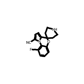 N#Cc1ccc2n1-c1c(F)cccc1OC21CCNCC1